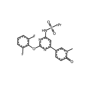 CCCS(=O)(=O)Nc1cc(-c2ccc(=O)n(C)c2)nc(Oc2c(F)cccc2F)n1